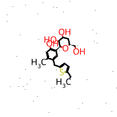 CCc1ccc(Cc2cc([C@@H]3O[C@H](CO)C[C@H](O)[C@H]3O)c(O)cc2C)s1